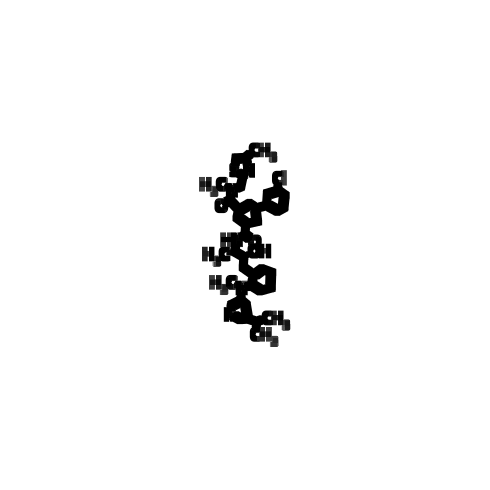 Cc1csc(CN(C)C(=O)c2cc(C(=O)N[C@@H](C)[C@H](O)Cc3ccccc3N(C)c3cncc(C(C)C)c3)cc(-c3cccc(Cl)c3)c2)n1